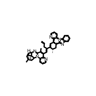 C=CC/C(=C\C1=C(C)C2=N[C@@H]3C=CC(C)CC([C@@H]3C)N2c2cccnc21)C1=Cc2c(c3nc4ccccc4n3c3cccnc23)C[C@@H]1C